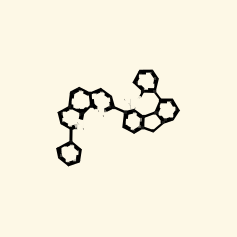 N#Cc1ccccc1-c1cccc2c1-c1cc(-c3ccc4ccc5ccc(-c6ccccc6)nc5c4n3)ccc1C2